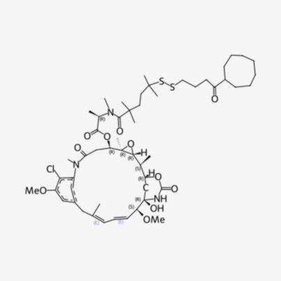 COc1cc2cc(c1Cl)N(C)C(=O)C[C@@H](OC(=O)[C@@H](C)N(C)C(=O)C(C)(C)CCC(C)(C)SSCCCC(=O)C1CCCCCCC1)[C@@]1(C)O[C@@H]1[C@@H](C)[C@H]1C[C@](O)(NC(=O)O1)[C@@H](OC)/C=C/C=C(\C)C2